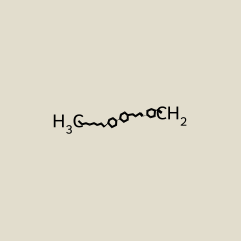 C=C[C@H]1CC[C@H](/C=C/CCC2CCC([C@H]3CC[C@H](CCCCCCCC)CC3)CC2)CC1